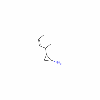 C/C=C\C(C)C1CC1N